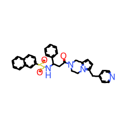 O=C(CC(NS(=O)(=O)c1ccc2ccccc2c1)c1ccccc1)N1CCn2c(Cc3ccncc3)ccc2C1